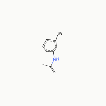 C=C(C)Nc1cccc(C(C)C)c1